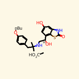 CC(=O)O.CCCCOc1ccc(CC(C)(C)NC[C@H](O)c2cc(O)cc3[nH]c(=O)sc23)cc1